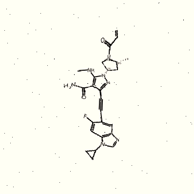 C=CC(=O)N1C[C@@H](n2nc(C#Cc3cc4ncn(C5CC5)c4cc3F)c(C(N)=O)c2NC)C[C@H]1C